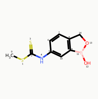 CSC(=S)Nc1ccc2c(c1)B(O)OC2